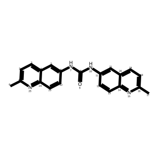 Cc1ccc2cc(NC(=O)Nc3ccc4nc(C)ccc4c3)ccc2n1